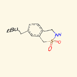 CC(C)(C)Cc1ccc2c(c1)CS(=O)(=O)NC2